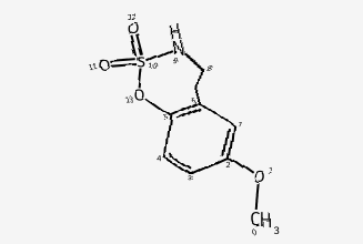 COc1ccc2c(c1)CNS(=O)(=O)O2